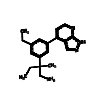 CCc1cc(-c2ccnc3[nH]ncc23)cc(C(C)(CC)CN)c1